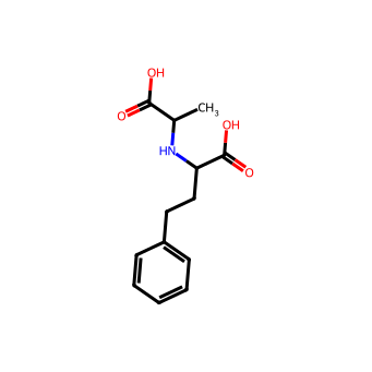 CC(NC(CCc1ccccc1)C(=O)O)C(=O)O